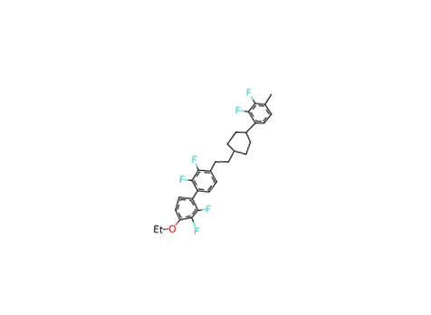 CCOc1ccc(-c2ccc(CCC3CCC(c4ccc(C)c(F)c4F)CC3)c(F)c2F)c(F)c1F